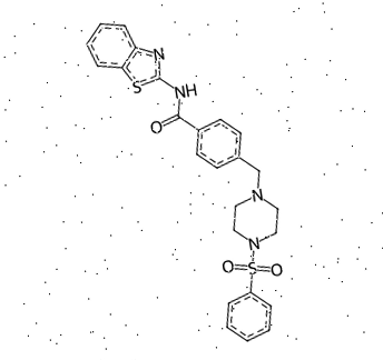 O=C(Nc1nc2ccccc2s1)c1ccc(CN2CCN(S(=O)(=O)c3ccccc3)CC2)cc1